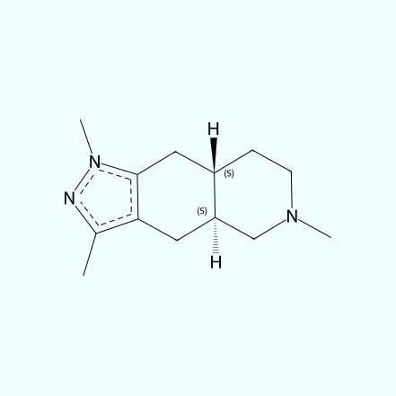 Cc1nn(C)c2c1C[C@@H]1CN(C)CC[C@H]1C2